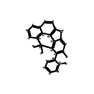 Cc1cc2oc3ccc4cccc5c4c3c2c(c1-c1cccc[n+]1C)C5(C)C